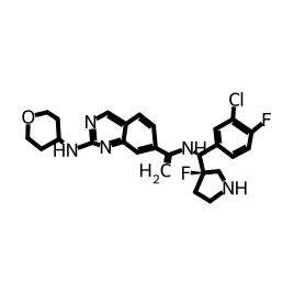 C=C(N[C@@H](c1ccc(F)c(Cl)c1)[C@@]1(F)CCNC1)c1ccc2cnc(NC3CCOCC3)nc2c1